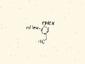 CCCCCCc1ccc(CO)cc1CCCCCC